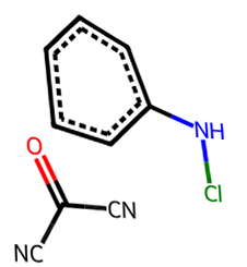 ClNc1ccccc1.N#CC(=O)C#N